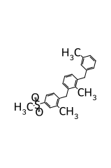 Cc1cccc(Cc2cccc(Cc3ccc(S(C)(=O)=O)cc3C)c2C)c1